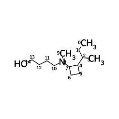 CCC(C)C1CCC1N(C)CCCCO